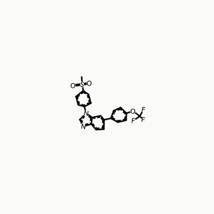 CS(=O)(=O)c1ccc(-n2cnc3ccc(-c4ccc(OC(F)(F)F)cc4)cc32)cc1